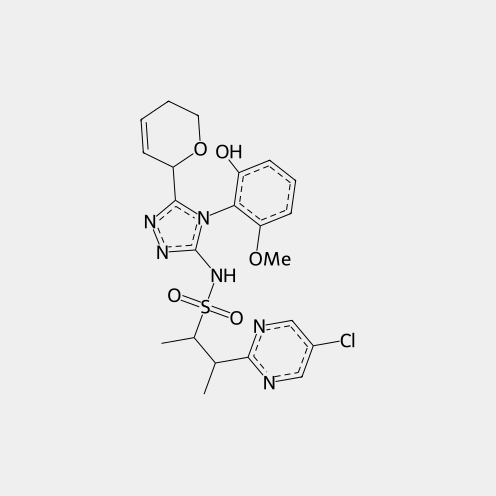 COc1cccc(O)c1-n1c(NS(=O)(=O)C(C)C(C)c2ncc(Cl)cn2)nnc1C1C=CCCO1